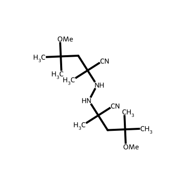 COC(C)(C)CC(C)(C#N)NNC(C)(C#N)CC(C)(C)OC